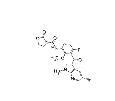 COc1c(N[S+]([O-])N2CCOC2=O)ccc(F)c1C(=O)c1cn(C)c2ncc(Br)cc12